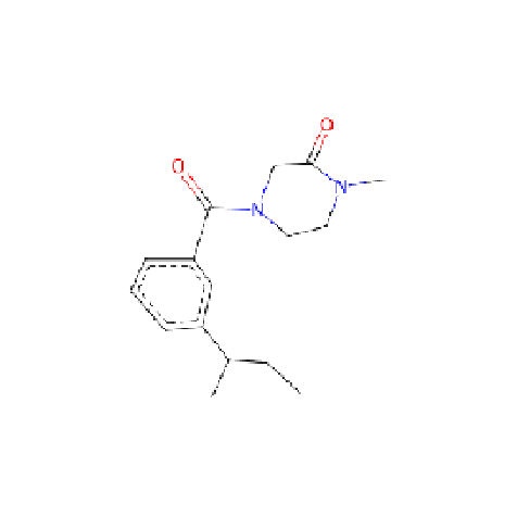 CCC(C)c1cccc(C(=O)N2CCN(C)C(=O)C2)c1